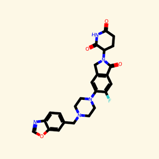 O=C1CCC(N2Cc3cc(N4CCN(Cc5ccc6ncoc6c5)CC4)c(F)cc3C2=O)C(=O)N1